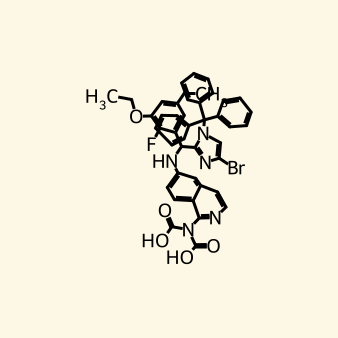 CCOc1cc(CC)cc(C(Nc2ccc3c(N(C(=O)O)C(=O)O)nccc3c2)c2nc(Br)cn2C(c2ccccc2)(c2ccccc2)c2ccccc2)c1F